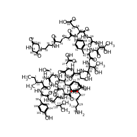 CC[C@H](C)[C@H](NC(=O)[C@H](CO)NC(=O)[C@H](Cc1ccc(O)cc1)NC(=O)[C@H](CC(=O)O)NC(=O)[C@H](CO)NC(=O)[C@@H](NC(=O)[C@H](Cc1ccccc1)NC(=O)[C@@H](NC(=O)CNC(=O)[C@H](CCC(=O)O)NC(=O)CSCC(=O)NCCN1CC(=O)NCC1=O)[C@@H](C)O)[C@@H](C)O)C(=O)N[C@@H](Cc1ccc(O)cc1)C(=O)N[C@@H](CC(C)C)C(=O)N[C@@H](CC(=O)O)C(=O)N[C@H](C)CCCCN